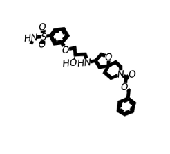 CNS(=O)(=O)c1cccc(OC[C@@H](O)CNC2COC3(CCN(C(=O)OCc4ccccc4)CC3)C2)c1